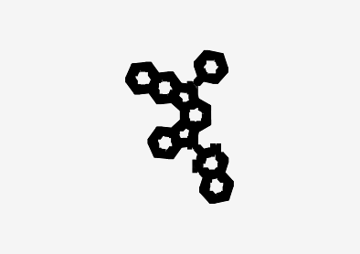 c1ccc(-n2c3cc4ccccc4cc3c3c4c5ccccc5n(-c5ncc6ccccc6n5)c4ccc32)cc1